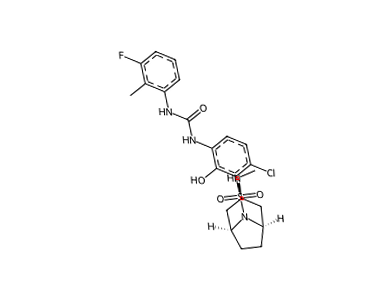 CN[C@H]1C[C@H]2CC[C@@H](C1)N2S(=O)(=O)c1c(Cl)ccc(NC(=O)Nc2cccc(F)c2C)c1O